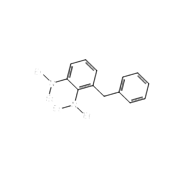 CCN(CC)c1cc[c]c(Cc2ccccc2)c1N(CC)CC